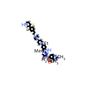 CCc1cc(Nc2ncc(Br)c(Nc3ccc4nc(C)ncc4c3P(C)(C)=O)n2)c(OC)cc1N1CCC(N2CCN(CCc3cc(F)c(C4CCCNC4)c(F)c3)CC2)CC1